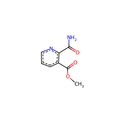 COC(=O)c1cccnc1C(N)=O